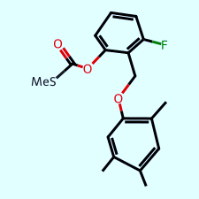 CSC(=O)Oc1cccc(F)c1COc1cc(C)c(C)cc1C